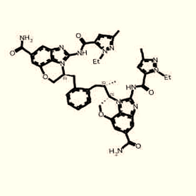 CCn1nc(C)cc1C(=O)Nc1nc2cc(C(N)=O)cc3c2n1[C@@H](Cc1ccccc1C[C@H](C)[C@H]1COc2cc(C(N)=O)cc4nc(NC(=O)c5cc(C)nn5CC)n1c24)CO3